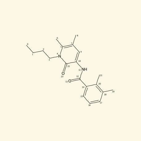 CCCCn1c(C)c(C)cc(NC(=O)c2cccc(C)c2C)c1=O